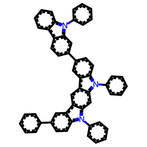 c1ccc(-c2ccc3c(c2)c2cc4c5cc(-c6ccc7c8ccccc8n(-c8ccccc8)c7c6)ccc5n(-c5ccccc5)c4cc2n3-c2ccccc2)cc1